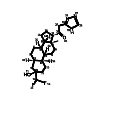 C[C@]12CC[C@H]3[C@@H](CC[C@@H]4C[C@@](O)(C(F)F)CC[C@@H]43)[C@@H]1CC[C@@H]2C(=O)Cc1nnc[nH]1